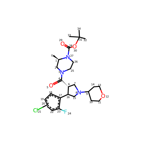 C[C@@H]1CN(C(=O)[C@@H]2CN(C3CCOCC3)CC2c2ccc(Cl)cc2F)CCN1C(=O)OC(C)(C)C